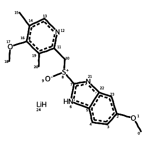 COc1ccc2[nH]c([S+]([O-])Cc3ncc(C)c(OC)c3C)nc2c1.[LiH]